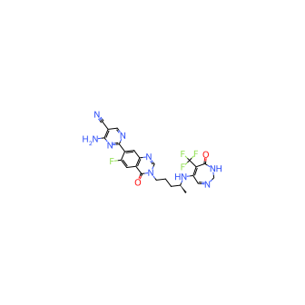 C[C@@H](CCCn1cnc2cc(-c3ncc(C#N)c(N)n3)c(F)cc2c1=O)NC1=C(C(F)(F)F)C(=O)NCN=C1